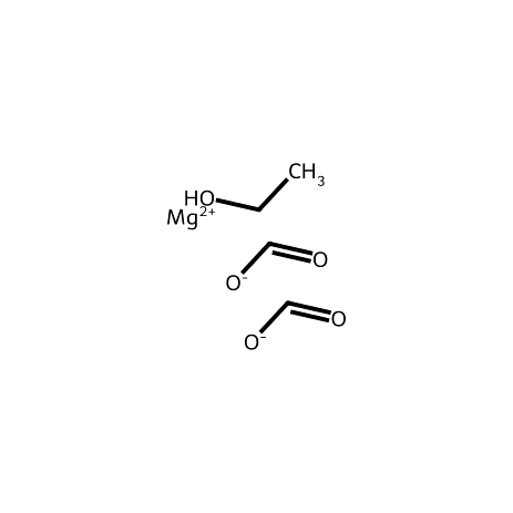 CCO.O=C[O-].O=C[O-].[Mg+2]